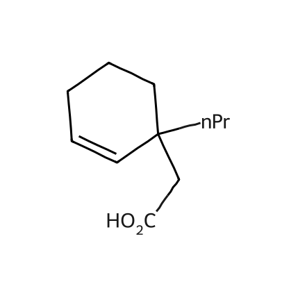 CCCC1(CC(=O)O)C=CCCC1